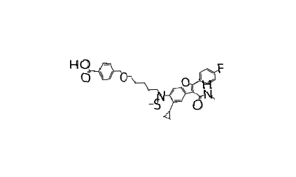 CNC(=O)c1c(-c2ccc(F)cc2)oc2cc(N(CCCCCOCc3ccc(C(=O)O)cc3)SC)c(C3CC3)cc12